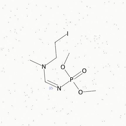 COP(=O)(/N=C\N(C)CCI)OC